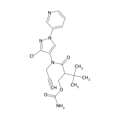 C#CCN(C(=O)C(COC(N)=O)C(C)(C)C)c1cn(-c2cccnc2)nc1Cl